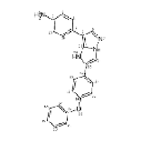 Nc1ccc(-c2cnn3cc(-c4ccc(Oc5ccccc5)cc4)[nH]c23)cc1